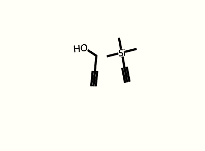 C#CCO.C#C[Si](C)(C)C